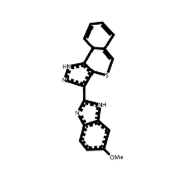 COc1ccc2nc(-c3n[nH]c4c3SC=C3C=CC=CC34)[nH]c2c1